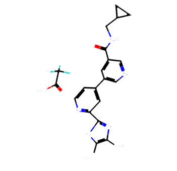 Cc1nc(-c2cc(-c3cncc(C(=O)NCC4CC4)c3)ccn2)[nH]c1C.O=C(O)C(F)(F)F